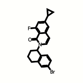 O=c1c2c(F)cc(C3CC3)cc2ccn1C1CCCc2cc(Br)ccc21